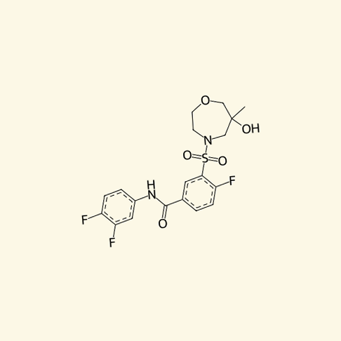 CC1(O)COCCN(S(=O)(=O)c2cc(C(=O)Nc3ccc(F)c(F)c3)ccc2F)C1